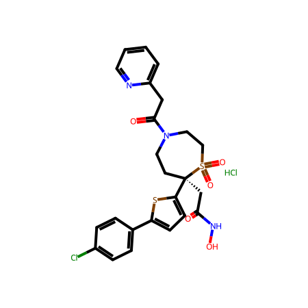 Cl.O=C(C[C@]1(c2ccc(-c3ccc(Cl)cc3)s2)CCN(C(=O)Cc2ccccn2)CCS1(=O)=O)NO